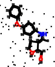 CC(Nc1ccc(Oc2ccccc2)cc1)=C1C=COC1C=O